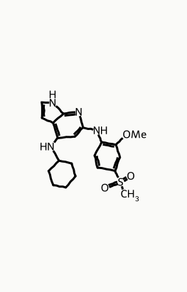 COc1cc(S(C)(=O)=O)ccc1Nc1cc(NC2CCCCC2)c2cc[nH]c2n1